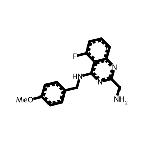 COc1ccc(CNc2nc(CN)nc3cccc(F)c23)cc1